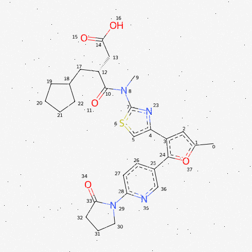 Cc1cc(-c2csc(N(C)C(=O)[C@@H](CC(=O)O)CC3CCCC3)n2)c(-c2ccc(N3CCCC3=O)nc2)o1